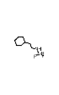 F[SiH](F)NCCC1CCCCC1